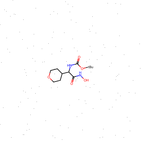 CC(C)(C)OC(=O)NC(C(=O)NO)C1CCOCC1